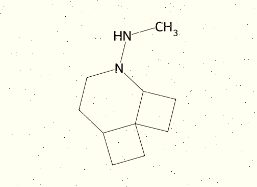 CNN1CCC2CCC23CCC13